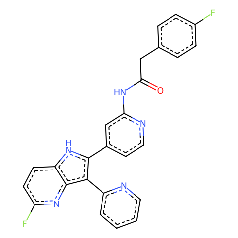 O=C(Cc1ccc(F)cc1)Nc1cc(-c2[nH]c3ccc(F)nc3c2-c2ccccn2)ccn1